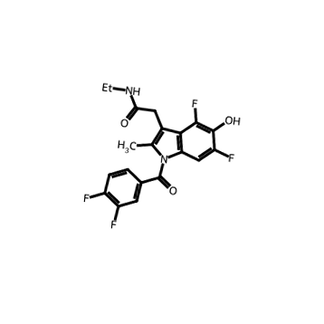 CCNC(=O)Cc1c(C)n(C(=O)c2ccc(F)c(F)c2)c2cc(F)c(O)c(F)c12